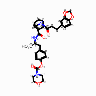 O=C(N[C@@H](Cc1ccc(OC(=O)N2CCOCC2)cc1)C(=O)O)C1C2CCC(CC2)N1C(=O)CCc1ccc2c(c1)OCO2